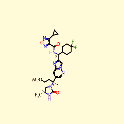 COCC[C@@](C)(c1cnn2cc([C@@H](NC(=O)c3nonc3C3CC3)C3CCC(F)(F)CC3)nc2c1)N1C[C@@H](C(F)(F)F)NC1=O